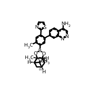 Cc1cc(-c2nccs2)c(-c2ccc3c(N)cnnc3c2)cc1B1O[C@@H]2C[C@@H]3C[C@@H](C3(C)C)[C@]2(C)O1